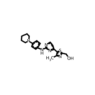 Cc1nc(CO)sc1-c1ccnc(Nc2ccc(N3CCCCC3)cc2)n1